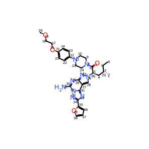 CC[C@H](C)C[C@H](C(=O)N1CCN(c2ccc(OCCOC)cc2)CC1)n1cc2c(nc(N)n3nc(-c4ccco4)nc23)n1